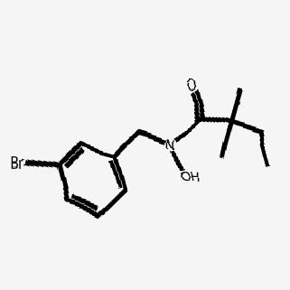 CCC(C)(C)C(=O)N(O)Cc1cccc(Br)c1